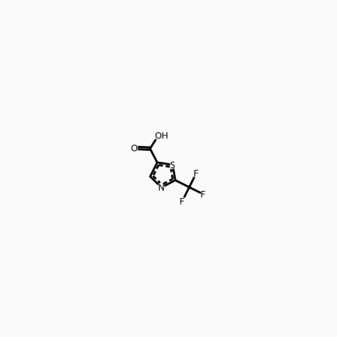 O=C(O)c1cnc(C(F)(F)F)s1